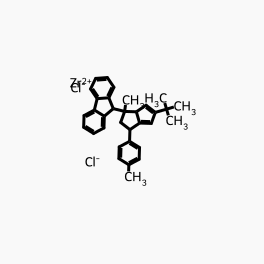 Cc1ccc(C2CC(C)(C3c4ccccc4-c4ccccc43)C3C=C(C(C)(C)C)C=C23)cc1.[Cl-].[Cl-].[Zr+2]